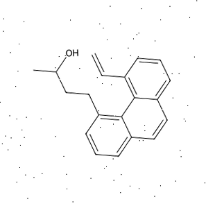 C=Cc1cccc2ccc3cccc(CCC(C)O)c3c12